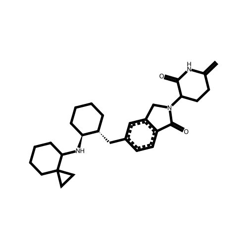 C=C1CCC(N2Cc3cc(C[C@H]4CCCC[C@@H]4NC4CCCCC45CC5)ccc3C2=O)C(=O)N1